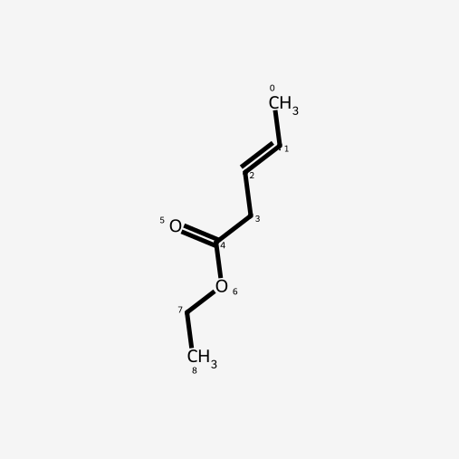 C[C]=CCC(=O)OCC